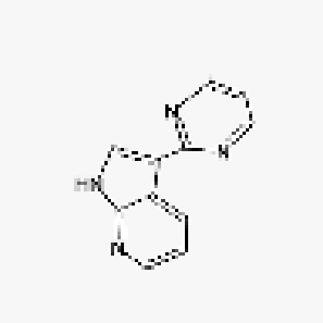 [c]1ccnc(-c2c[nH]c3ncccc23)n1